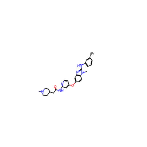 CC(C)c1cccc(Nc2nc3cc(Oc4ccnc(NC(=O)CC5CCN(C)CC5)c4)ccc3n2C)c1